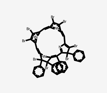 BrC1=C2/C=c3\[nH]/c(c(Br)c3Br)=C\c3[nH]c(c(Br)c3Br)/C=C3\N/C(=C(/c4ccccc4)C(=N2)C1(Br)c1ccccc1)C(Br)(c1ccccc1)C3(Br)c1ccccc1